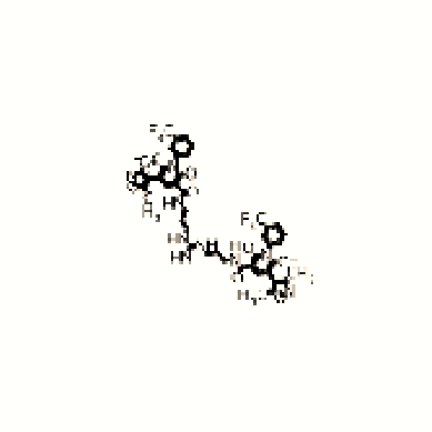 Cc1noc(C)c1-c1cc(C(=O)NCCCNC(=N)NCCCNC(=O)c2cc(-c3c(C)noc3C)c(C)n(-c3cccc(C(F)(F)F)c3)c2=O)c(=O)n(-c2cccc(C(F)(F)F)c2)c1C